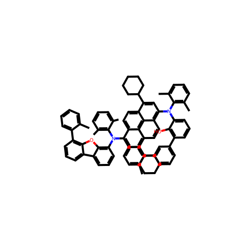 Cc1ccccc1-c1cccc(-c2cccc(N(c3c(C)cccc3C)c3cc(C4CCCCC4)c4ccc5c(N(c6c(C)cccc6C)c6cccc7c6oc6c(-c8ccccc8C)cccc67)cc(C6CCCCC6)c6ccc3c4c65)c2O)c1